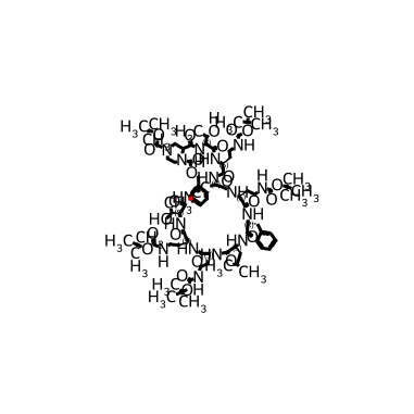 CC(C)C[C@@H]1NC(=O)[C@@H](Cc2ccccc2)NC(=O)[C@H](CCNC(=O)OC(C)(C)C)NC(=O)[C@@H](NC(=O)[C@H](CCNC(=O)OC(C)(C)C)NC(=O)[C@@H](NC(=O)C2CN(C(=O)OC(C)(C)C)CCN2C(=O)OCc2ccccc2)C(C)O)CCNC(=O)[C@H](C(C)O)NC(=O)[C@H](CCNC(=O)OC(C)(C)C)NC(=O)[C@H](CCNC(=O)OC(C)(C)C)NC1=O